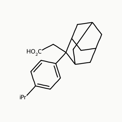 CC(C)c1ccc(C2(CC(=O)O)C3CC4CC(C3)CC2C4)cc1